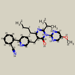 CCCCc1nc(C(C)C)n(-c2ncc(OC)cn2)c(=O)c1Cc1ccc(-c2ccccc2C#N)nc1